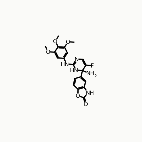 COc1cc(NC2=NC=C(F)C(N)(c3ccc4oc(=O)[nH]c4c3)N2)cc(OC)c1OC